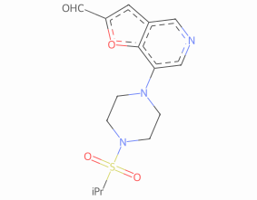 CC(C)S(=O)(=O)N1CCN(c2cncc3cc(C=O)oc23)CC1